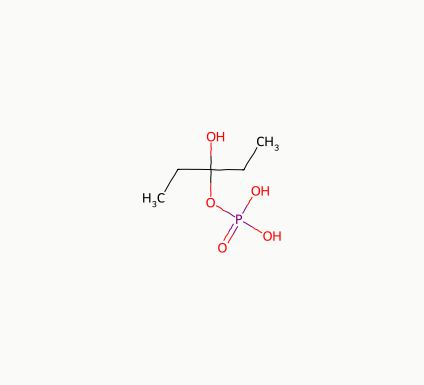 CCC(O)(CC)OP(=O)(O)O